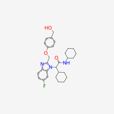 O=C(NC1CCCCC1)C(C1CCCCC1)n1c(COc2ccc(CO)cc2)nc2ccc(F)cc21